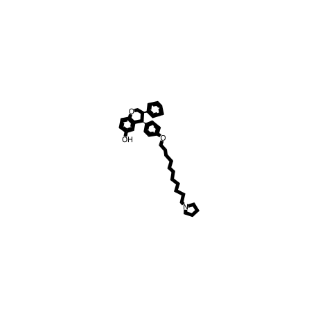 Oc1ccc2c(c1)[C@@H](c1ccc(OCCCCCCCCCCCN3CCCC3)cc1)[C@H](c1ccccc1)CO2